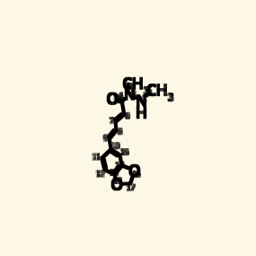 CNN(C)C(=O)C=CC=Cc1ccc2c(c1)OCO2